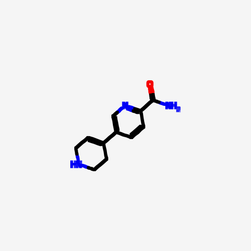 NC(=O)c1ccc(C2=CCNCC2)cn1